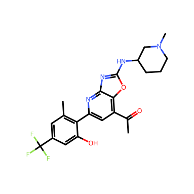 CC(=O)c1cc(-c2c(C)cc(C(F)(F)F)cc2O)nc2nc(NC3CCCN(C)C3)oc12